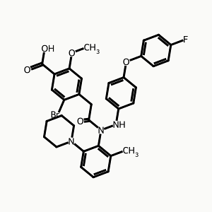 COc1cc(CC(=O)N(Nc2ccc(Oc3ccc(F)cc3)cc2)c2c(C)cccc2N2CCCCC2)c(Br)cc1C(=O)O